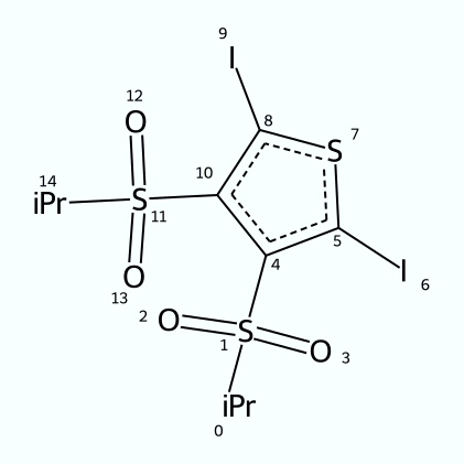 CC(C)S(=O)(=O)c1c(I)sc(I)c1S(=O)(=O)C(C)C